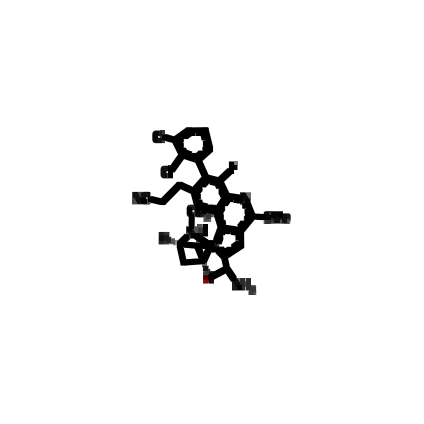 CSc1nc2c(F)c(-c3cccc(Cl)c3Cl)c(CCC#N)cc2c2c1cc(C(C)N)n2[C@H]1[C@@H]2C[C@H]1N(C(=O)O)C2